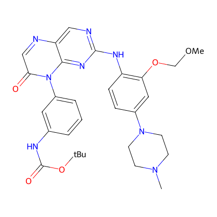 COCOc1cc(N2CCN(C)CC2)ccc1Nc1ncc2ncc(=O)n(-c3cccc(NC(=O)OC(C)(C)C)c3)c2n1